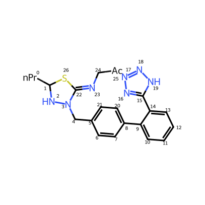 CCCC1NN(Cc2ccc(-c3ccccc3-c3nnn[nH]3)cc2)C(=NCC(C)=O)S1